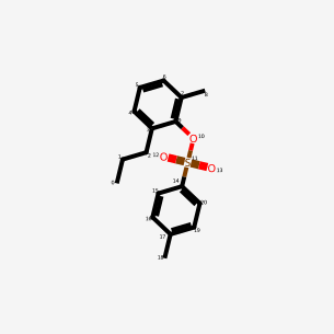 CCCc1cccc(C)c1OS(=O)(=O)c1ccc(C)cc1